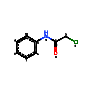 O=C(CCl)Nc1c[c]ccc1